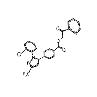 O=C(COC(=O)c1ccc(-c2cc(C(F)(F)F)nn2-c2ccccc2Cl)cc1)c1ccccc1